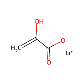 C=C(O)C(=O)[O-].[Li+]